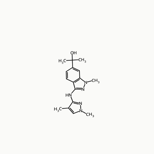 Cc1cn(C)nc1Nc1nn(C)c2cc(C(C)(C)O)ccc12